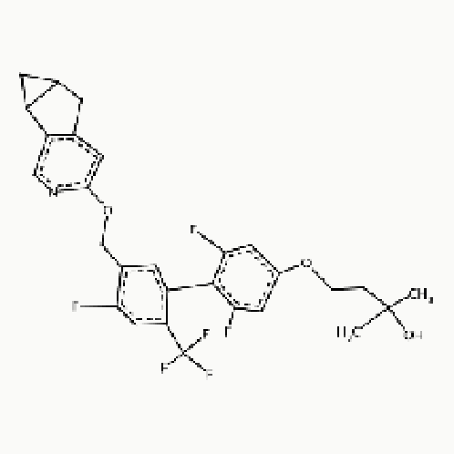 CC(C)(O)CCOc1cc(F)c(-c2cc(COc3cc4c(cn3)C3CC3C4)c(F)cc2C(F)(F)F)c(F)c1